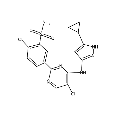 NS(=O)(=O)c1cc(-c2ncc(Cl)c(Nc3cc(C4CC4)[nH]n3)n2)ccc1Cl